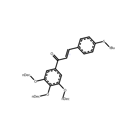 CCCCCCCCCCOc1cc(C(=O)/C=C/c2ccc(SC(C)(C)C)cc2)cc(OCCCCCCCCCC)c1OCCCCCCCCCC